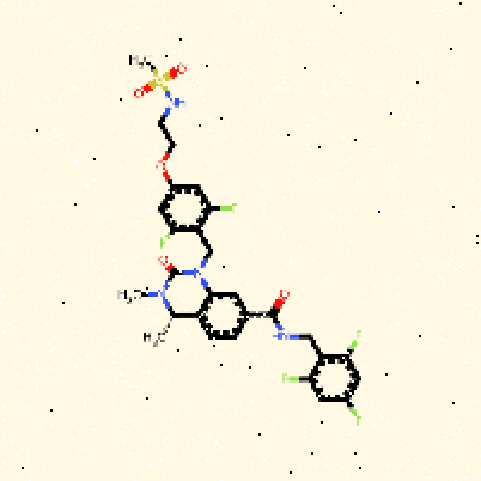 C[C@H]1c2ccc(C(=O)NCc3c(F)cc(F)cc3F)cc2N(Cc2c(F)cc(OCCNS(C)(=O)=O)cc2F)C(=O)N1C